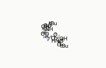 C/C(COC(=O)C(CO)NC(=O)OC(C)(C)C)=C(\C)OC(=O)C(CO)NC(=O)OC(C)(C)C